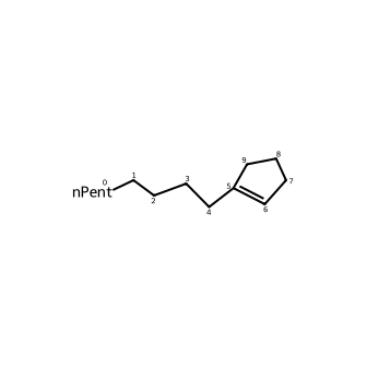 CCCCCCCCCC1=CCCC1